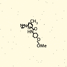 COCCOC1CCC(NC(=O)c2cc(C)cc(-n3ccnc3)n2)CC1